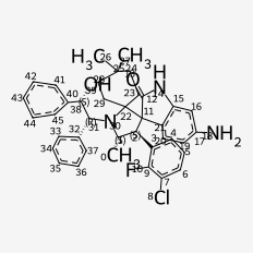 C[C@H]1[C@H](c2cccc(Cl)c2F)C2(C(=O)Nc3cc(N)ccc32)C2(CCC(C)(C)CC2)N1[C@H](c1ccccc1)[C@@H](O)c1ccccc1